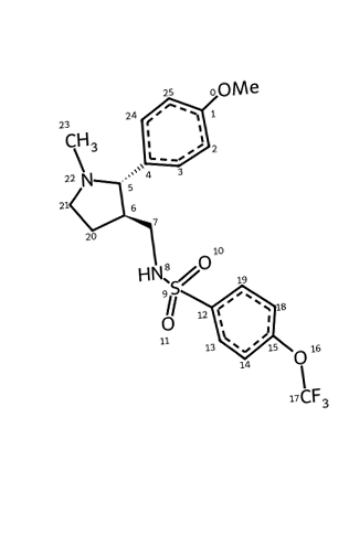 COc1ccc([C@@H]2[C@@H](CNS(=O)(=O)c3ccc(OC(F)(F)F)cc3)CCN2C)cc1